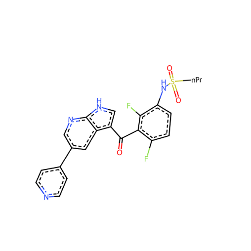 CCCS(=O)(=O)Nc1ccc(F)c(C(=O)c2c[nH]c3ncc(-c4ccncc4)cc23)c1F